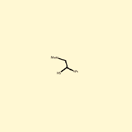 CCCC(S)CNC